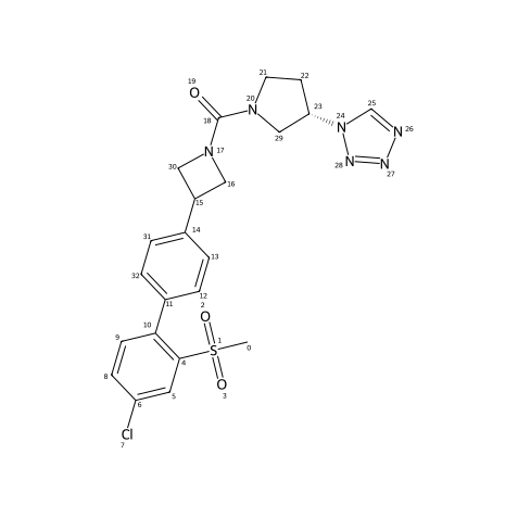 CS(=O)(=O)c1cc(Cl)ccc1-c1ccc(C2CN(C(=O)N3CC[C@H](n4cnnn4)C3)C2)cc1